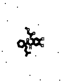 COCC(=O)Sc1cc(Cl)c(Cl)cc1NC(=O)C1(CCC(C)C)CCCCC1